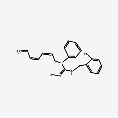 C=C/C=C\C=C/CP(/C(=N\C(C)C)NCc1ccccc1CC)c1ccccc1